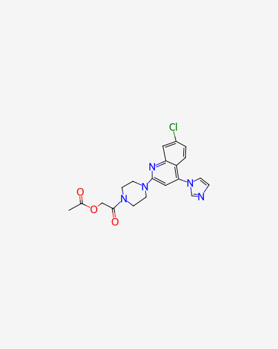 CC(=O)OCC(=O)N1CCN(c2cc(-n3ccnc3)c3ccc(Cl)cc3n2)CC1